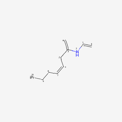 C=CNC(=C)C/C=C\CCC(C)C